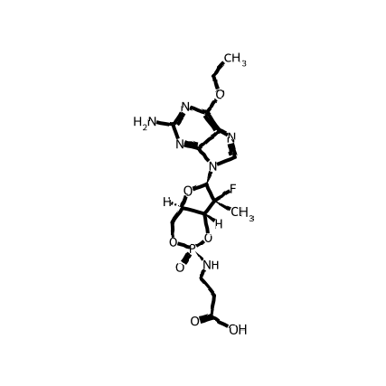 CCOc1nc(N)nc2c1ncn2[C@@H]1O[C@@H]2CO[P@](=O)(NCCC(=O)O)O[C@H]2[C@@]1(C)F